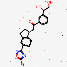 CCc1nc(-c2ccc3c(c2)CC[C@H]3CC(=O)c2cccc(C(O)CO)c2)no1